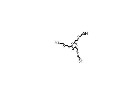 SCCSCCC1SC(CCSCCS)SC(CCSCCS)S1